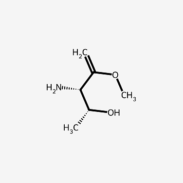 C=C(OC)[C@@H](N)[C@@H](C)O